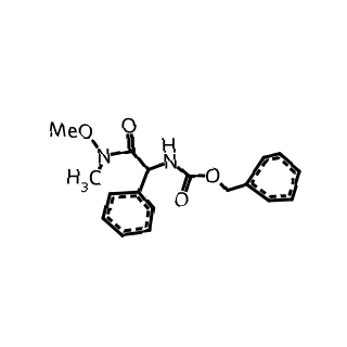 CON(C)C(=O)C(NC(=O)OCc1ccccc1)c1ccccc1